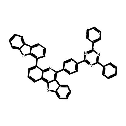 c1ccc(-c2nc(-c3ccccc3)nc(-c3ccc(-c4nc5c(-c6cccc7c6oc6ccccc67)cccc5c5sc6ccccc6c45)cc3)n2)cc1